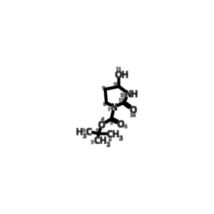 CC(C)(C)OC(=O)N1CCC(O)NC1=O